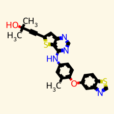 Cc1cc(Nc2ncnc3cc(C#CC(C)(C)O)sc23)ccc1Oc1ccc2scnc2c1